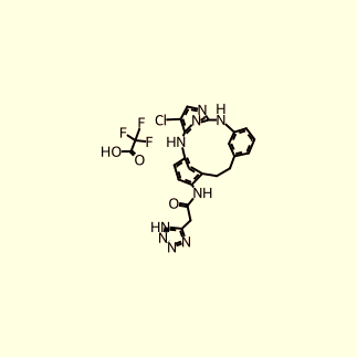 O=C(Cc1nnn[nH]1)Nc1ccc2cc1CCc1cccc(c1)Nc1ncc(Cl)c(n1)N2.O=C(O)C(F)(F)F